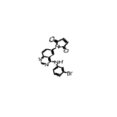 O=C1C=CC(=O)N1c1ccc2ncnc(Nc3cccc(Br)c3)c2c1